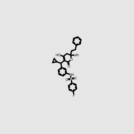 CCCC1(CCc2ccccc2)CC(O)=C(C(c2cccc(NS(=O)(=O)c3ccc(F)cc3)c2)C2CC2)C(=O)O1